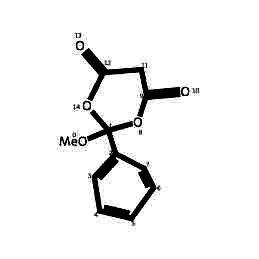 COC1(c2ccccc2)OC(=O)CC(=O)O1